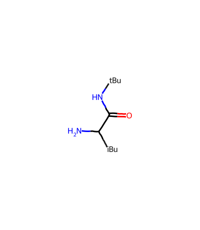 CCC(C)C(N)C(=O)NC(C)(C)C